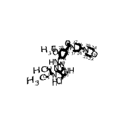 CC[C@H](CO)Nc1nc(Nc2ccc(C(=O)N3CCC(N4CCOCC4)CC3)cc2OC)nc2[nH]cc(Cl)c12